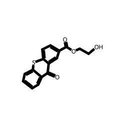 O=C(OCCO)c1ccc2sc3ccccc3c(=O)c2c1